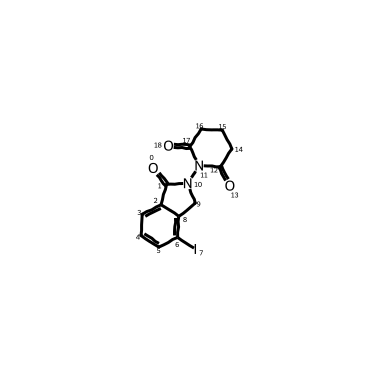 O=C1c2cccc(I)c2CN1N1C(=O)CCCC1=O